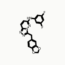 Fc1cc(F)cc(Nc2ccc3nnc(Cc4ccc5c(c4)OCO5)n3n2)c1